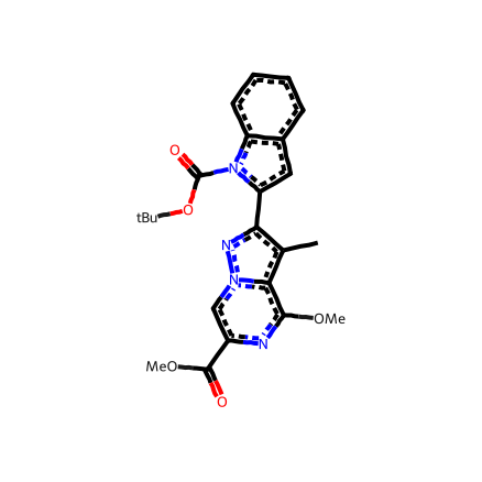 COC(=O)c1cn2nc(-c3cc4ccccc4n3C(=O)OC(C)(C)C)c(C)c2c(OC)n1